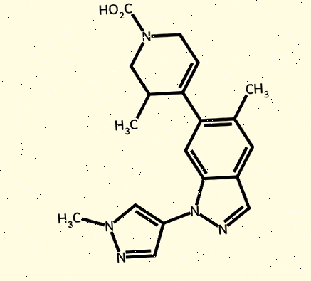 Cc1cc2cnn(-c3cnn(C)c3)c2cc1C1=CCN(C(=O)O)CC1C